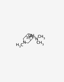 CN1CC2CC[C@H](N(C)C)C(C1)[C@@H]2O